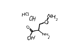 Cl.Cl.NOCC(N)C(=O)O